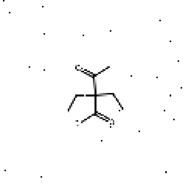 CCC(CC)(C(C)=O)C(=O)Cl